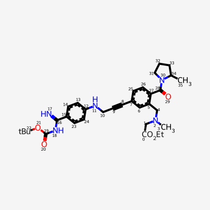 CCOC(=O)CN(C)Cc1cc(C#CCNc2ccc(C(=N)NC(=O)OC(C)(C)C)cc2)ccc1C(=O)N1CCCC1C